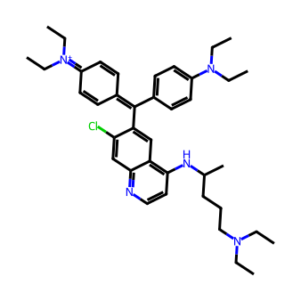 CCN(CC)CCCC(C)Nc1ccnc2cc(Cl)c(C(=C3C=CC(=[N+](CC)CC)C=C3)c3ccc(N(CC)CC)cc3)cc12